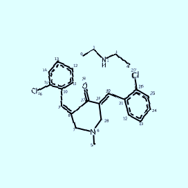 CCNCC.CN1CC(=Cc2ccccc2Cl)C(=O)C(=Cc2ccccc2Cl)C1